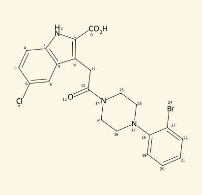 O=C(O)c1[nH]c2ccc(Cl)cc2c1CC(=O)N1CCN(c2ccccc2Br)CC1